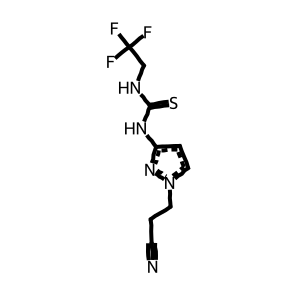 N#CCCn1ccc(NC(=S)NCC(F)(F)F)n1